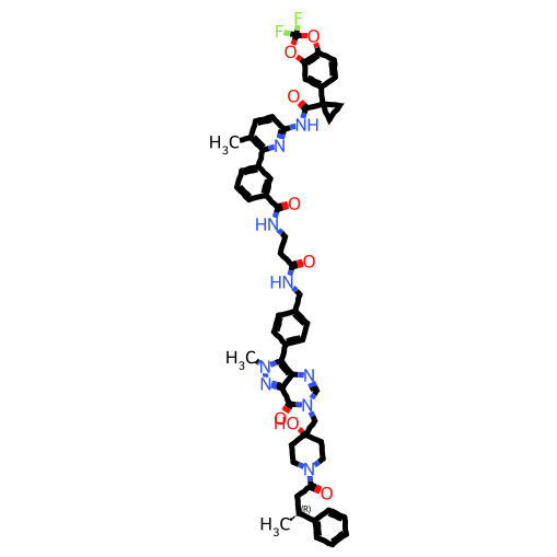 Cc1ccc(NC(=O)C2(c3ccc4c(c3)OC(F)(F)O4)CC2)nc1-c1cccc(C(=O)NCCC(=O)NCc2ccc(-c3c4ncn(CC5(O)CCN(C(=O)C[C@@H](C)c6ccccc6)CC5)c(=O)c4nn3C)cc2)c1